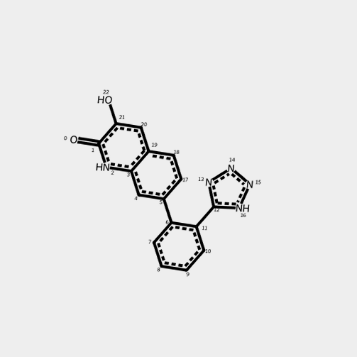 O=c1[nH]c2cc(-c3ccccc3-c3nnn[nH]3)ccc2cc1O